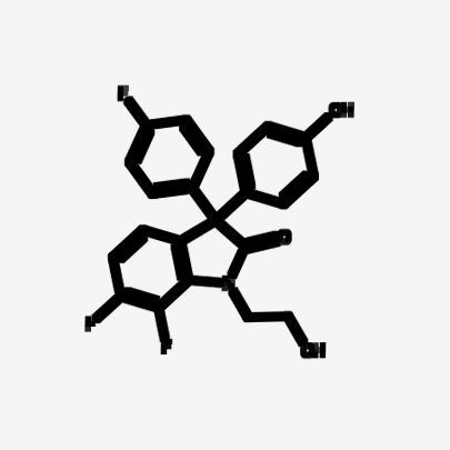 O=C1N(CCO)c2c(ccc(F)c2F)C1(c1ccc(O)cc1)c1ccc(F)cc1